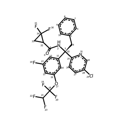 O=C(N[C@@](Cc1ccccc1)(c1cc(F)cc(OC(F)(F)C(F)F)c1)c1ccc(Cl)cn1)C1CC1(F)F